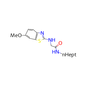 CCCCCCCNC(=O)CNc1nc2ccc(OC)cc2s1